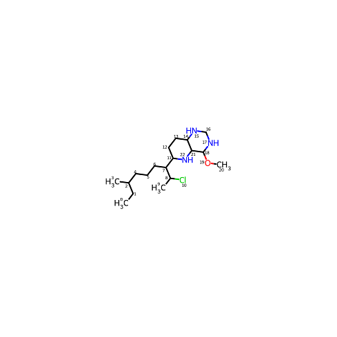 CCC(C)CCCC(C(C)Cl)C1CCC2NCNC(OC)C2N1